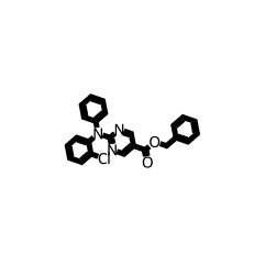 O=C(OCc1ccccc1)c1cnc(N(c2ccccc2)c2ccccc2Cl)nc1